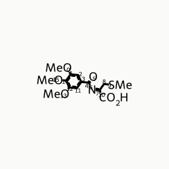 COc1cc(C(=O)N=C(CSC)C(=O)O)cc(OC)c1OC